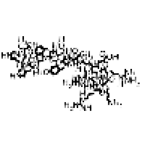 C[C@H](N)C(=O)N[C@@H](CCCNC(=N)N)C(=O)N[C@@H](CCCCN)C(=O)N[C@@H](CCCNC(=N)N)C(=O)N[C@@H](CCC(=O)O)C(=O)N[C@@H](CCCNC(=N)N)C(=O)N[C@H](C(=O)N[C@@H](Cc1ccc(O)cc1)C(=O)N[C@@H](CO)C(=O)N[C@@H](Cc1ccccc1)C(=O)NCC(=O)N[C@@H](Cc1c[nH]cn1)C(=O)N[C@@H](Cc1c[nH]cn1)C(=O)N[C@@H](C)C(=O)O)[C@@H](C)O